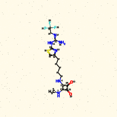 CNc1c(NCCCCCc2csc(N/C(N)=N\CC(F)(F)F)n2)c(=O)c1=O